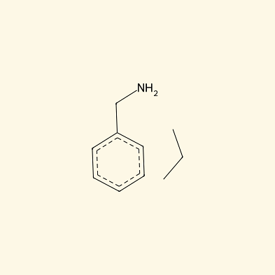 CCC.NCc1ccccc1